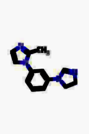 Cc1nccn1-c1cccc(N2C=NCC2)c1